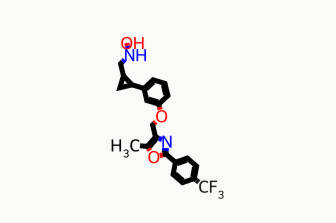 Cc1oc(-c2ccc(C(F)(F)F)cc2)nc1COc1cccc(C2CC2CNO)c1